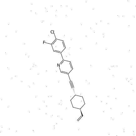 C=C[C@H]1CC[C@H](C#Cc2ccc(-c3ccc(Cl)c(F)c3)nc2)CC1